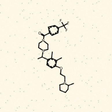 Cc1c(OCCN2CCCCC2C)ccc(C(C)N2CCN(C(=O)c3ccc(C(F)(F)F)cc3)CC2)c1C